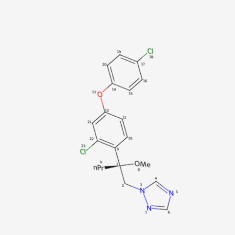 CCC[C@](Cn1cncn1)(OC)c1ccc(Oc2ccc(Cl)cc2)cc1Cl